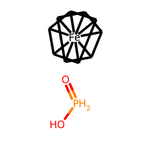 O=[PH2]O.[CH]12[CH]3[CH]4[CH]5[CH]1[Fe]23451678[CH]2[CH]1[CH]6[CH]7[CH]28